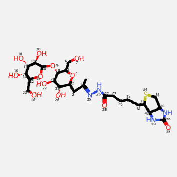 C/C(CC1OC(CO)[C@@H](OC2OC(CO)[C@H](O)[C@H](O)[C@H]2O)[C@H](O)[C@H]1O)=N\NC(=O)CCCCC1SCC2NC(=O)NC21